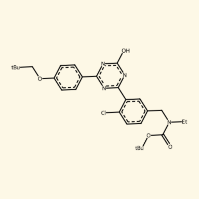 CCN(Cc1ccc(Cl)c(-c2nc(O)nc(-c3ccc(OCC(C)(C)C)cc3)n2)c1)C(=O)OC(C)(C)C